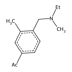 CCN(C)Cc1ccc(C(C)=O)cc1C